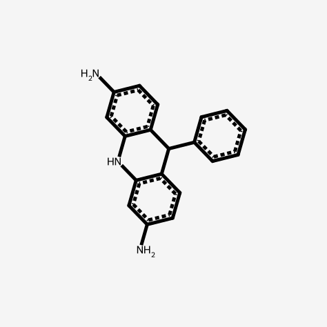 Nc1ccc2c(c1)Nc1cc(N)ccc1C2c1ccccc1